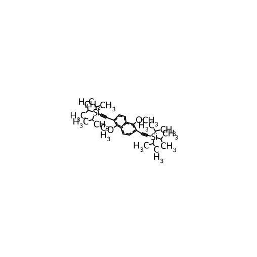 COc1c(C#C[Si](C(C)C)(C(C)C)C(C)C)ccc2c(OC)c(C#C[Si](C(C)C)(C(C)C)C(C)C)ccc12